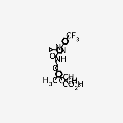 Cc1cc(OCCNC(=O)c2cnc(-c3ccc(C(F)(F)F)cc3)nc2C2CC2)ccc1OC(C)(C)C(=O)O